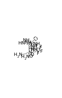 N=C(N)NCCCC(CNC(Cc1c(F)c(F)c(F)c(F)c1F)C(=O)NC(CCCCN)C(N)=O)NC(=O)C(N)Cc1ccccc1